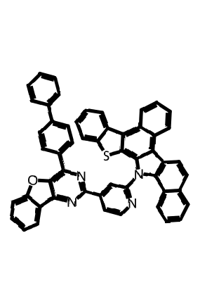 c1ccc(-c2ccc(-c3nc(-c4ccnc(-n5c6c7ccccc7ccc6c6c7ccccc7c7c8ccccc8sc7c65)c4)nc4c3oc3ccccc34)cc2)cc1